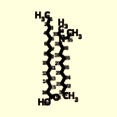 CCCCCCCCC=CCCCCCCCC(=O)O.CCCCCCCCCCCCN(CC)CC